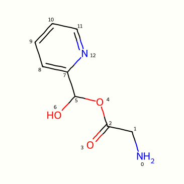 NCC(=O)OC(O)c1ccccn1